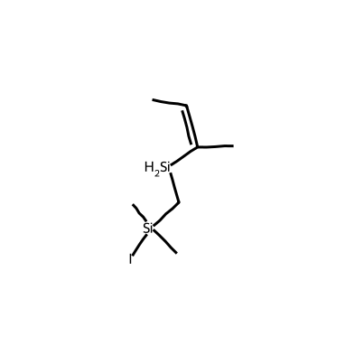 CC=C(C)[SiH2]C[Si](C)(C)I